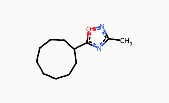 Cc1noc(C2CCCCCCCC2)n1